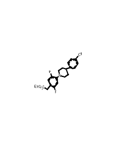 CCOC(=O)Cc1cc(F)c(N2CCC(c3ccc(Cl)cc3)CC2)cc1F